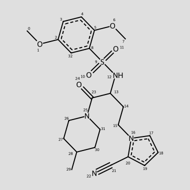 COc1ccc(OC)c(S(=O)(=O)NC(CCn2cccc2C#N)C(=O)N2CCC(C)CC2)c1